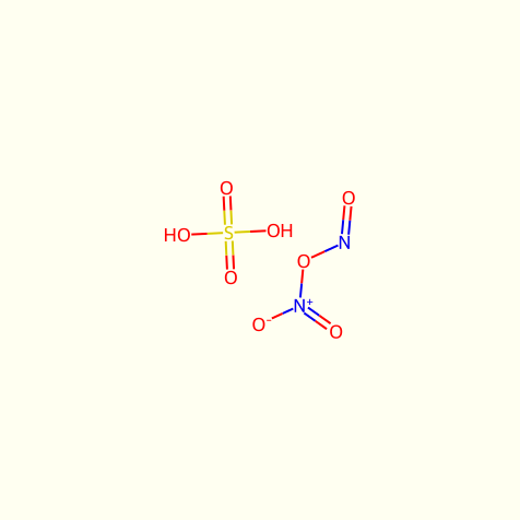 O=NO[N+](=O)[O-].O=S(=O)(O)O